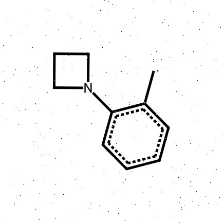 [CH2]c1ccccc1N1CCC1